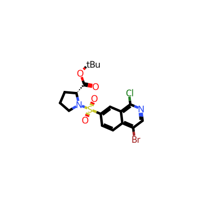 CC(C)(C)OC(=O)[C@H]1CCCN1S(=O)(=O)c1ccc2c(Br)cnc(Cl)c2c1